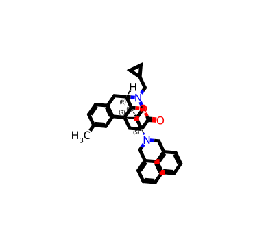 Cc1ccc2c(c1)[C@]13CCN(CC4CC4)[C@H](C2)[C@]12CC[C@](N(Cc1ccccc1)Cc1ccccc1)(C3)C(=O)O2